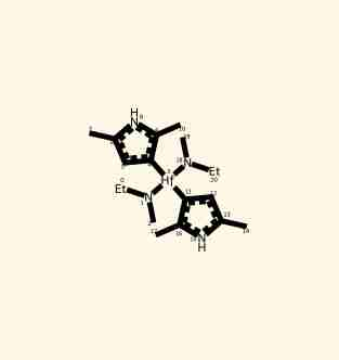 CC[N](C)[Hf]([c]1cc(C)[nH]c1C)([c]1cc(C)[nH]c1C)[N](C)CC